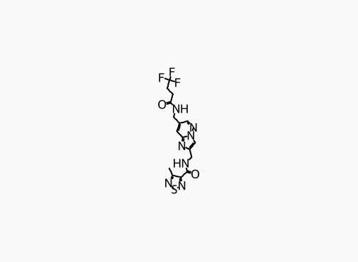 Cc1nsnc1C(=O)NCc1cn2ncc(CNC(=O)CCC(F)(F)F)cc2n1